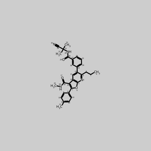 CCCc1nc2oc(-c3ccc(C)cc3)c(C(=O)NC)c2cc1-c1cccc(C(=O)NC(C)(C)C#N)c1